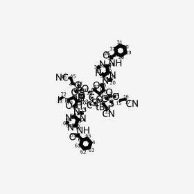 CC(C)(C)[Si](C)(C)O[C@H]1[C@@H](OP(=S)(OCCC#N)OCCC#N)[C@H](n2cnc3c(NC(=O)c4ccccc4)ncnc32)O[C@@H]1COP(=O)(OCCC#N)O[C@H]1[C@@H](F)[C@H](n2cnc3c(NC(=O)c4ccccc4)ncnc32)O[C@@H]1CI